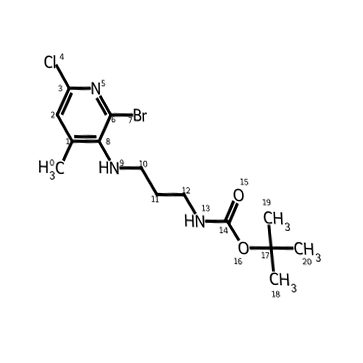 Cc1cc(Cl)nc(Br)c1NCCCNC(=O)OC(C)(C)C